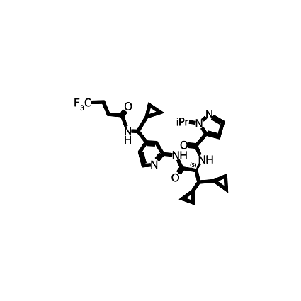 CC(C)n1nccc1C(=O)N[C@H](C(=O)Nc1cc(C(NC(=O)CCC(F)(F)F)C2CC2)ccn1)C(C1CC1)C1CC1